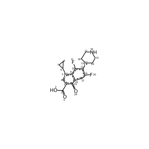 O=C(O)c1cn(C2CC2)c2c(F)c(N3CCNCC3)c(F)cc2c1=O